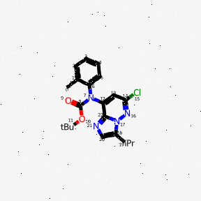 Cc1ccccc1N(C(=O)OC(C)(C)C)c1cc(Cl)nn2c(C(C)C)cnc12